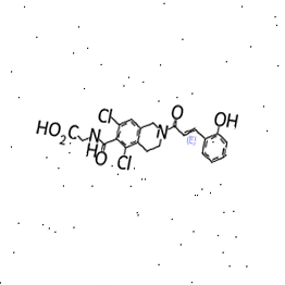 O=C(O)CNC(=O)c1c(Cl)cc2c(c1Cl)CCN(C(=O)/C=C/c1ccccc1O)C2